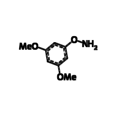 COc1cc(OC)cc(ON)c1